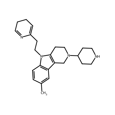 Cc1ccc2c(c1)c1c(n2CCC2=CCCC=N2)CCN(C2CCNCC2)C1